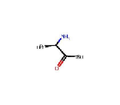 CCC[C@@H](N)C(=O)C(C)(C)C